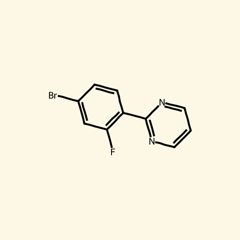 Fc1cc(Br)ccc1-c1ncccn1